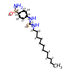 CCCCCCCCCCCCNC(=S)Nc1ccc([S+](N)[O-])cc1